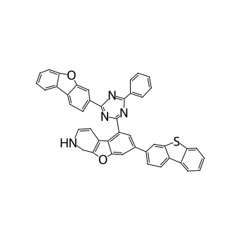 C1=Cc2c(oc3cc(-c4ccc5c(c4)sc4ccccc45)cc(-c4nc(-c5ccccc5)nc(-c5ccc6c(c5)oc5ccccc56)n4)c23)CN1